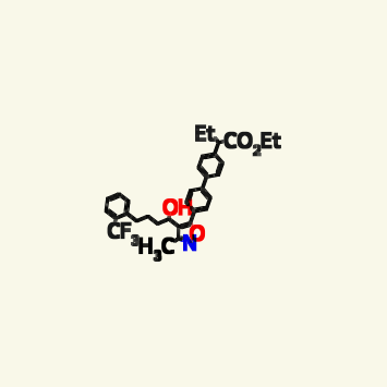 CCOC(=O)C(CC)c1ccc(-c2ccc(-c3onc(C)c3C(O)CCCc3ccccc3C(F)(F)F)cc2)cc1